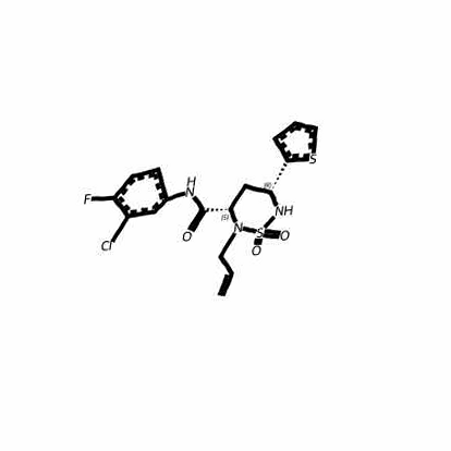 C=CCN1[C@H](C(=O)Nc2ccc(F)c(Cl)c2)C[C@H](c2cccs2)NS1(=O)=O